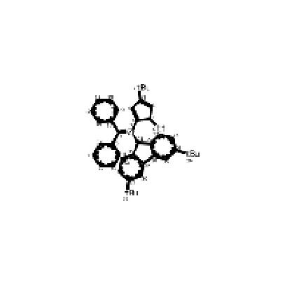 CCC1C=C(C(C)(C)C)C=[C]1[Zr](=[C](c1ccccc1)c1ccccc1)[CH]1c2ccc(C(C)(C)C)cc2-c2cc(C(C)(C)C)ccc21